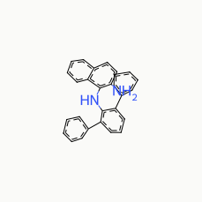 Nc1ccc2ccccc2c1Nc1c(-c2ccccc2)cccc1-c1ccccc1